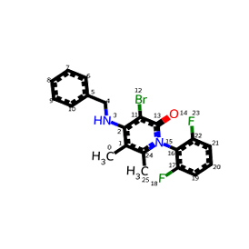 Cc1c(NCc2ccccc2)c(Br)c(=O)n(-c2c(F)cccc2F)c1C